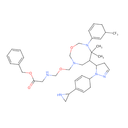 CC1(C)C(C2CC=NN2C2C=CC(C3CN3)=CC2)CN(COCNCC(=O)OCc2ccccc2)COCN1C1=CC(C(F)(F)F)CC=C1